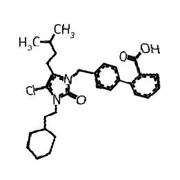 CC(C)CCc1c(Cl)n(CCC2CCCCC2)c(=O)n1Cc1ccc(-c2ccccc2C(=O)O)cc1